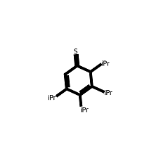 CC(C)C1=CC(=S)C(C(C)C)C(C(C)C)=C1C(C)C